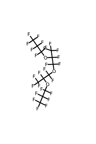 FC(F)(F)C(F)(F)C(F)(F)OC(F)(C(F)(F)F)C(F)(F)OC(F)(F)C(F)(OC(F)(F)C(F)(F)C(F)(F)F)C(F)(F)F